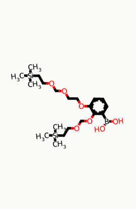 C[Si](C)(C)CCOCOCCOc1cccc(B(O)O)c1OCOCC[Si](C)(C)C